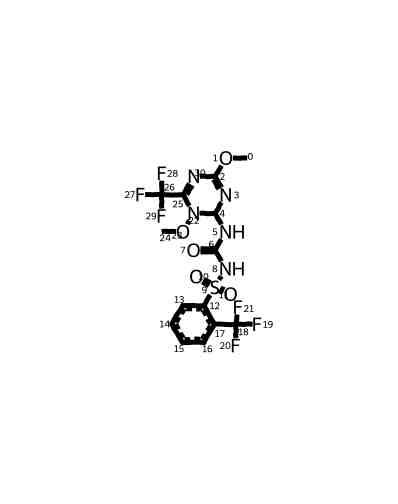 COC1=NC(NC(=O)NS(=O)(=O)c2ccccc2C(F)(F)F)N(OC)C(C(F)(F)F)=N1